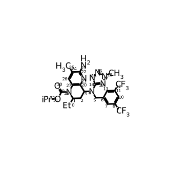 CCC1CC(N(Cc2cc(C(F)(F)F)cc(C(F)(F)F)c2)c2nnn(C)n2)c2nc(N)c(C)cc2N1C(=O)OC(C)C